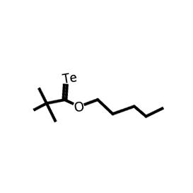 CCCCCOC(=[Te])C(C)(C)C